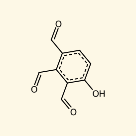 O=Cc1ccc(O)c(C=O)c1C=O